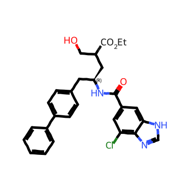 CCOC(=O)C(CO)C[C@H](Cc1ccc(-c2ccccc2)cc1)NC(=O)c1cc(Cl)c2nc[nH]c2c1